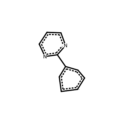 [c]1ccc(-c2ncccn2)cc1